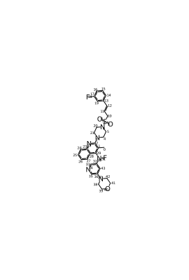 Cc1c(N2CCN(S(=O)(=O)CC=Cc3cccc(F)c3)CC2)nc2ccccc2c1N(F)c1cncc(N2CCOCC2)c1